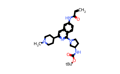 C=CC(=O)Nc1ccc2c(N3CC[C@@H](NC(=O)OC(C)(C)C)C3)nc(C3CCN(C)CC3)cc2c1